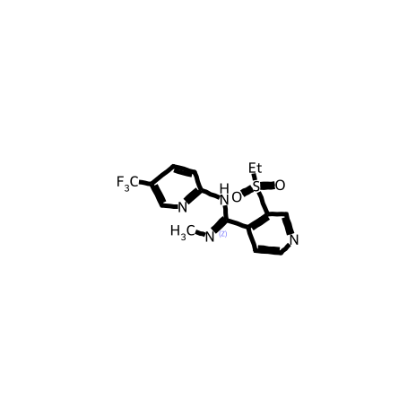 CCS(=O)(=O)c1cnccc1/C(=N/C)Nc1ccc(C(F)(F)F)cn1